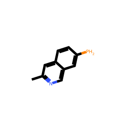 Cc1cc2ccc(P)cc2cn1